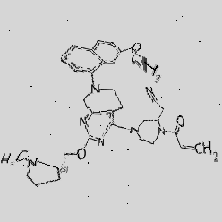 C=CC(=O)N1CCN(c2nc(OC[C@@H]3CCCN3C)nc3c2CCN(c2cccc4ccc(OC)cc24)C3)CC1CC#N